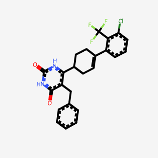 O=c1[nH]c(C2CC=C(c3cccc(Cl)c3C(F)(F)F)CC2)c(Cc2ccccc2)c(=O)[nH]1